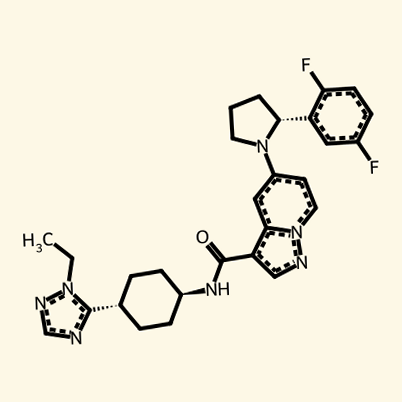 CCn1ncnc1[C@H]1CC[C@H](NC(=O)c2cnn3ccc(N4CCC[C@@H]4c4cc(F)ccc4F)cc23)CC1